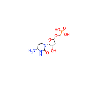 NC1C=CN([C@@H]2O[C@H](OCP(=O)(O)O)CC2O)C(=O)N1